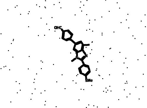 CSc1ccc(-c2nc3c(C)cc(-c4ccc(C=O)cc4)cc3n2C)cc1